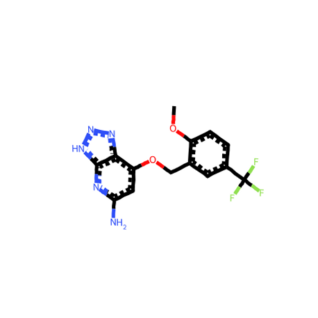 COc1ccc(C(F)(F)F)cc1COc1cc(N)nc2[nH]nnc12